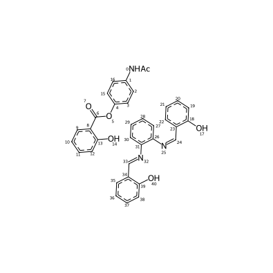 CC(=O)Nc1ccc(OC(=O)c2ccccc2O)cc1.Oc1ccccc1/C=N\c1ccccc1/N=C/c1ccccc1O